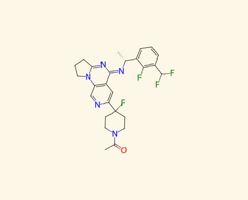 CC(=O)N1CCC(F)(c2cc3/c(=N/[C@H](C)c4cccc(C(F)F)c4F)nc4n(c3cn2)CCC4)CC1